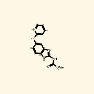 COC(=O)Nc1nc2cc(Sc3ccccn3)ccc2[nH]1